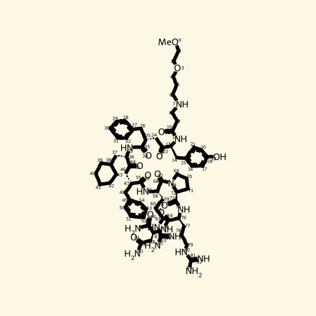 COCCOCCCNCCC(=O)N[C@@H](Cc1ccc(O)cc1)C(=O)C[C@@H](Cc1ccccc1)C(=O)N[C@@H](CC1CCCCC1)C(=O)C[C@@H](Cc1ccccc1)C(=O)N[C@@H](CCCNC(=N)N)C(=O)N1CCC[C@H]1C(=O)N[C@@H](CCCNC(=N)N)C(=O)N[C@@H](CC(N)=O)C(N)=O